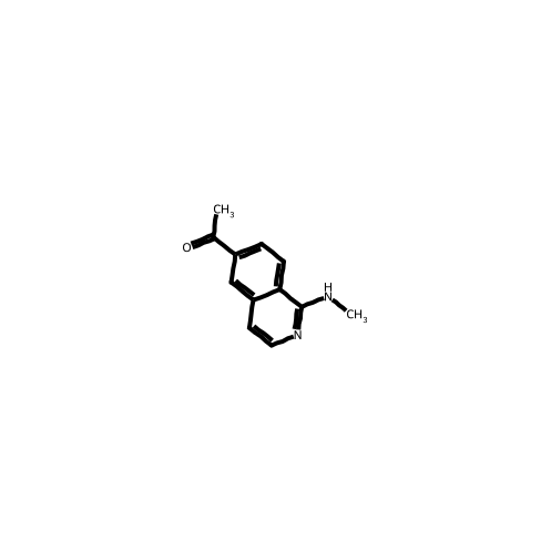 CNc1nccc2cc(C(C)=O)ccc12